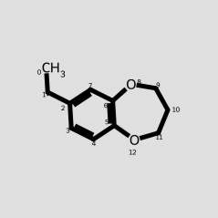 C[CH]c1ccc2c(c1)OCCCO2